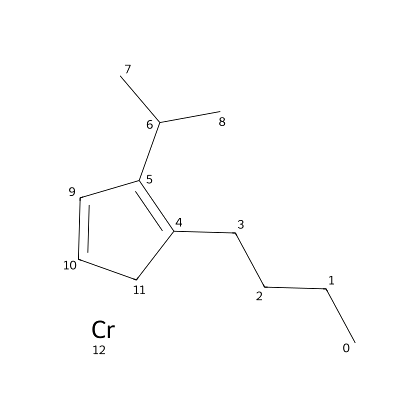 CCCCC1=C(C(C)C)C=CC1.[Cr]